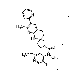 COc1cc(N(C)C(=O)N2CCC3(CCc4cc(-c5ncccn5)c(C)nc4N3)C2)c(F)cn1